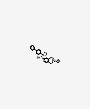 O=C(Nc1ccc2c(c1)CCN(C1CCC1)CC2)c1ccc(-c2ccccc2)cc1